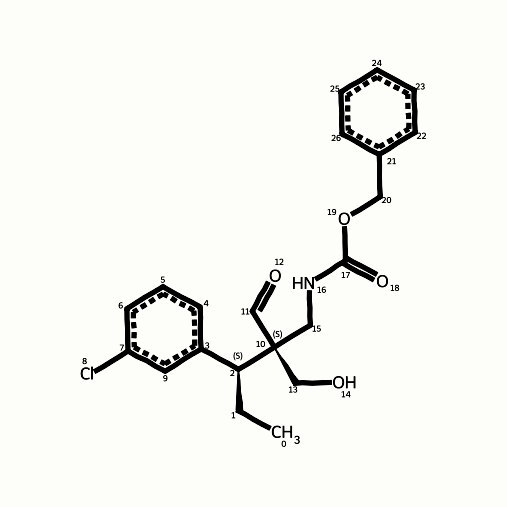 CC[C@@H](c1cccc(Cl)c1)[C@@](C=O)(CO)CNC(=O)OCc1ccccc1